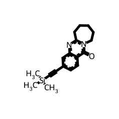 C[Si](C)(C)C#Cc1ccc2c(=O)n3c(nc2c1)CCCCC3